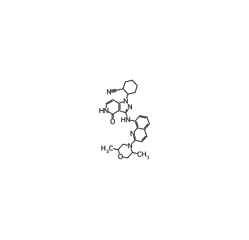 CC1CN(c2ccc3cccc(Nc4nn(C5CCCCC5C#N)c5cc[nH]c(=O)c45)c3n2)C(C)CO1